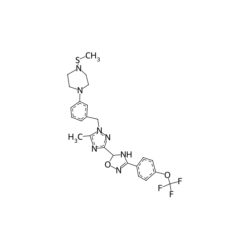 CSN1CCN(c2cccc(Cn3nc(C4NC(c5ccc(OC(F)(F)F)cc5)=NO4)nc3C)c2)CC1